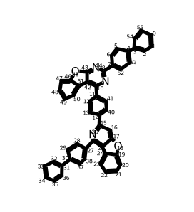 c1ccc(-c2ccc(-c3nc(-c4ccc(-c5cc6oc7ccccc7c6c(-c6ccc(-c7ccccc7)cc6)n5)cc4)c4c(n3)oc3ccccc34)cc2)cc1